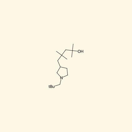 CC(C)(C)CN1CCC(CC(C)(C)CC(C)(C)O)C1